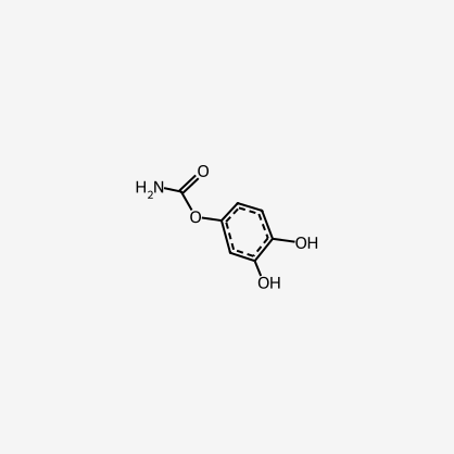 NC(=O)Oc1ccc(O)c(O)c1